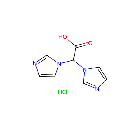 Cl.O=C(O)C(n1ccnc1)n1ccnc1